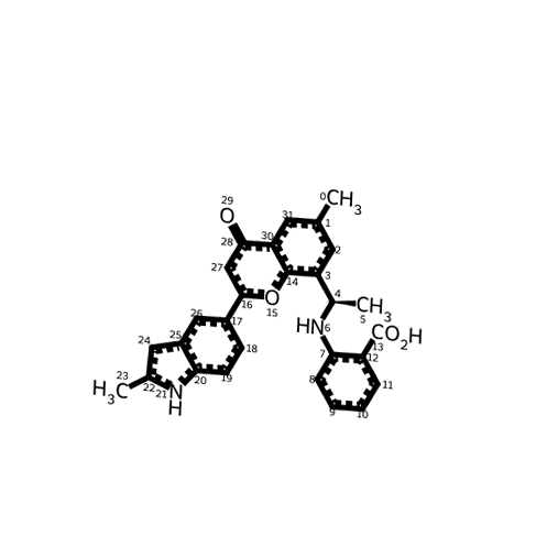 Cc1cc([C@@H](C)Nc2ccccc2C(=O)O)c2oc(-c3ccc4[nH]c(C)cc4c3)cc(=O)c2c1